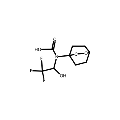 O=C(O)N(C(O)C(F)(F)F)C12CCC(CC1)OC2